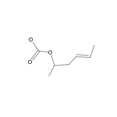 CC=CCC(C)OC([O])=O